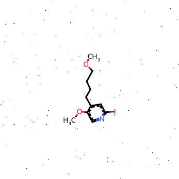 COCCCCc1cc(I)ncc1OC